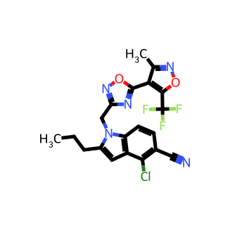 CCCc1cc2c(Cl)c(C#N)ccc2n1Cc1noc(-c2c(C)noc2C(F)(F)F)n1